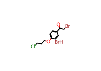 Br.O=C(CBr)c1ccc(OCCCCl)cc1